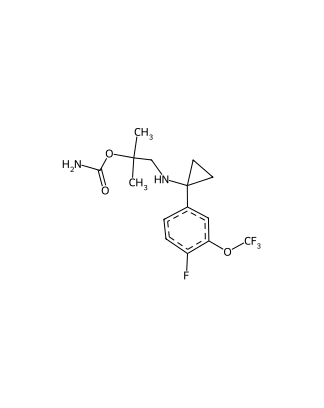 CC(C)(CNC1(c2ccc(F)c(OC(F)(F)F)c2)CC1)OC(N)=O